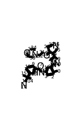 Cc1ccc(NC(=O)c2cccc(C(C)(C)C#N)c2)cc1-n1cc(C2C=NC=CC2OCCN2CCOCC2)cn1